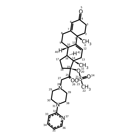 C[C@]12CCC(=O)C=C1CC[C@@H]1C2=CC[C@@]2(C)[C@H]1CC[C@@]2(OS(C)(=O)=O)C(=O)CN1CCN(c2ccccn2)CC1